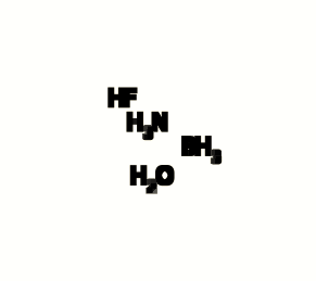 B.F.N.O